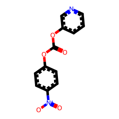 O=C(Oc1ccc([N+](=O)[O-])cc1)Oc1cccnc1